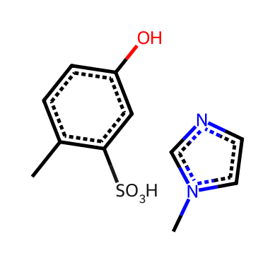 Cc1ccc(O)cc1S(=O)(=O)O.Cn1ccnc1